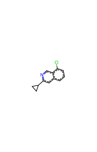 Clc1cccc2cc(C3CC3)ncc12